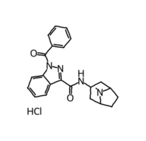 CN1C2CCC1CC(NC(=O)c1nn(C(=O)c3ccccc3)c3ccccc13)C2.Cl